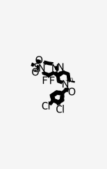 C[C@@H]1Cc2nn3c(c2CN1C(=O)c1ccc(Cl)c(Cl)c1)C(F)(F)CN(S(C)(=O)=O)CC3